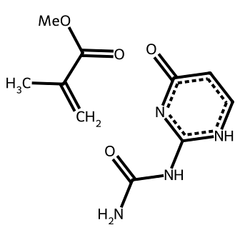 C=C(C)C(=O)OC.NC(=O)Nc1nc(=O)cc[nH]1